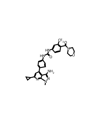 Cn1nc(N)c2c(-c3ccc(NC(=O)Nc4ccc(C(=O)N5CCOCC5)c(C(F)(F)F)c4)cc3)cc(C3CC3)nc21